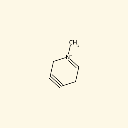 C[N+]1=CCC#CC1